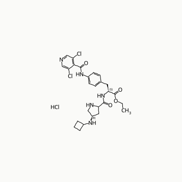 CCOC(=O)[C@H](Cc1ccc(NC(=O)c2c(Cl)cncc2Cl)cc1)NC(=O)C1C[C@@H](NC2CCC2)CN1.Cl